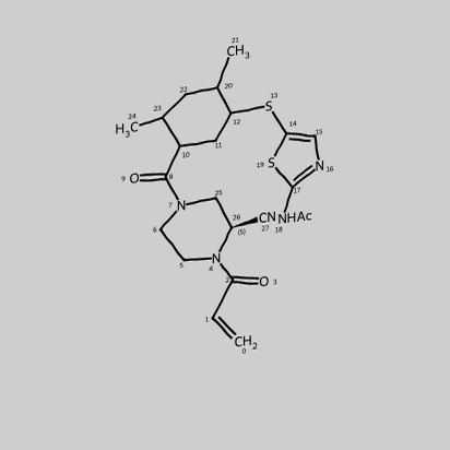 C=CC(=O)N1CCN(C(=O)C2CC(Sc3cnc(NC(C)=O)s3)C(C)CC2C)C[C@H]1C#N